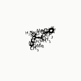 COc1c(C)cnc(Cn2cc(C#C[C@@](C)(O)COC(=O)[C@](OC)(c3ccccc3)C(F)(F)F)c3c(Cl)nc(N)nc32)c1C